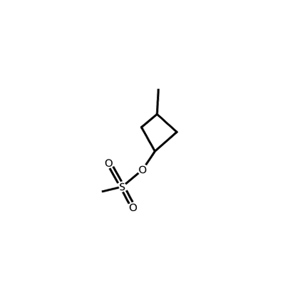 CC1CC(OS(C)(=O)=O)C1